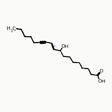 CCCCCC#C/C=C/C(O)CCCCCCCC(=O)O